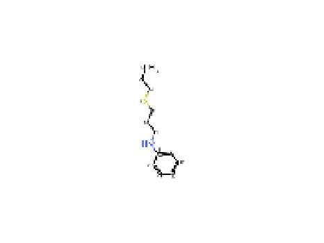 CCCSCCCNc1ccccc1